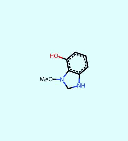 CON1CNc2cccc(O)c21